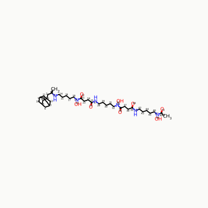 C=C(CC12CC3CC(CC(C3)C1)C2)NCCCCCN(O)C(=O)CCC(=O)NCCCCCN(O)C(=O)CCC(=O)NCCCCCN(O)C(C)=O